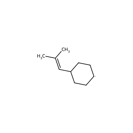 CC(C)=CC1CC[CH]CC1